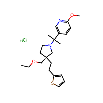 CCOC[C@@]1(CCc2cccs2)CCN(C(C)(C)c2ccc(OC)nc2)C1.Cl